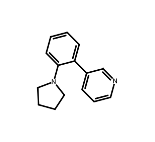 [c]1ncccc1-c1ccccc1N1CCCC1